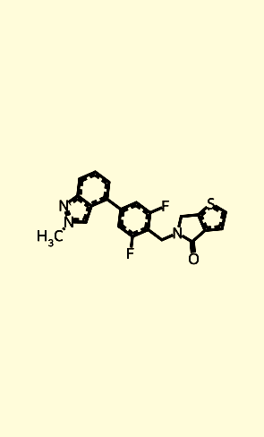 Cn1cc2c(-c3cc(F)c(CN4Cc5sccc5C4=O)c(F)c3)cccc2n1